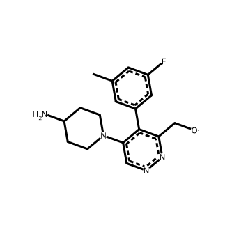 Cc1cc(F)cc(-c2c(N3CCC(N)CC3)cnnc2C[O])c1